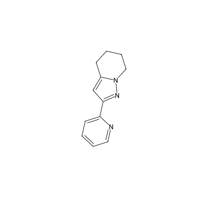 c1ccc(-c2cc3n(n2)CCCC3)nc1